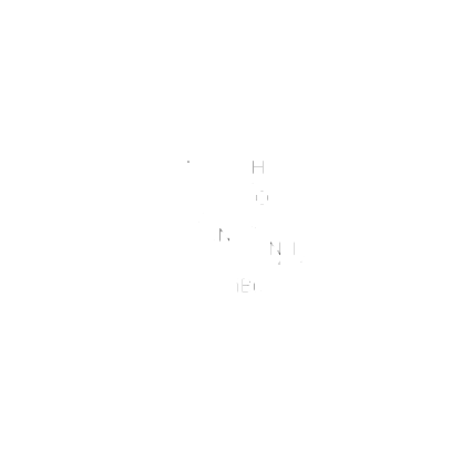 [CH2]C(CC)CN(C(N)=O)c1ccccc1.[H+]